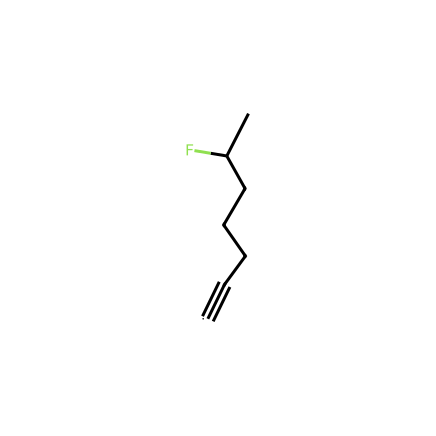 [C]#CCCCC(C)F